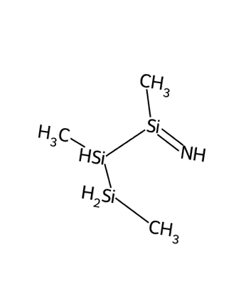 C[SiH2][SiH](C)[Si](C)=N